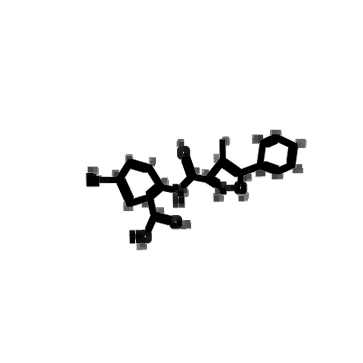 Cc1c(C(=O)Nc2ccc(Br)cc2C(=O)O)noc1-c1ccccc1